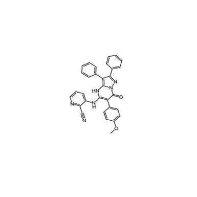 COc1ccc(-c2c(Nc3cccnc3C#N)[nH]c3c(-c4ccccc4)c(-c4ccccc4)nn3c2=O)cc1